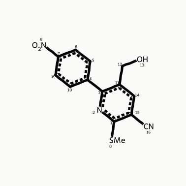 CSc1nc(-c2ccc([N+](=O)[O-])cc2)c(CO)cc1C#N